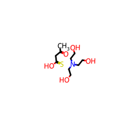 CC(=O)CC(O)=S.OCCN(CCO)CCO